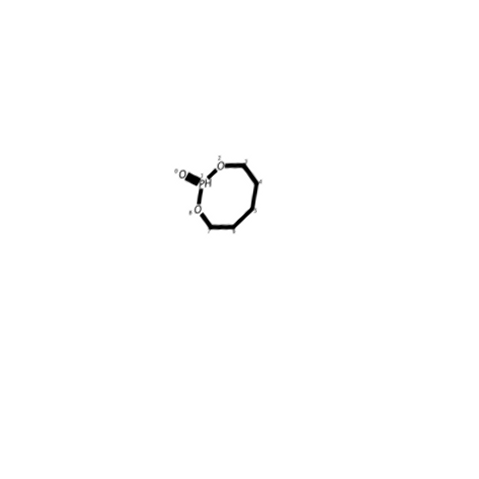 O=[PH]1OCCCCCO1